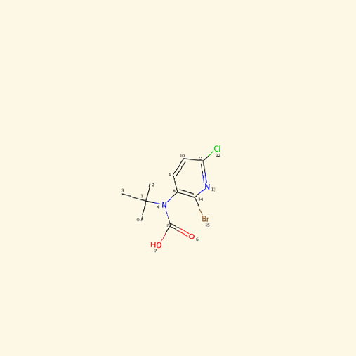 CC(C)(C)N(C(=O)O)c1ccc(Cl)nc1Br